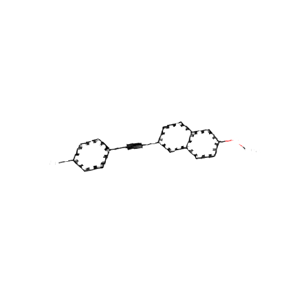 CCCCOc1ccc2cc(C#Cc3ccc(CC)cc3)ccc2c1